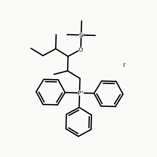 CCC(C)C(O[Si](C)(C)C)C(C)C[P+](c1ccccc1)(c1ccccc1)c1ccccc1.[I-]